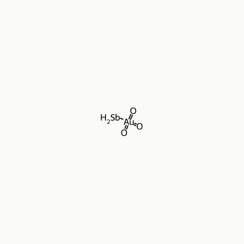 [O]=[Au](=[O])(=[O])[SbH2]